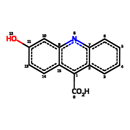 O=C(O)c1c2ccccc2nc2cc(O)ccc12